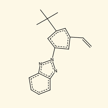 C=Cc1cc(-n2nc3ccccc3n2)cc(C(C)(C)C)c1